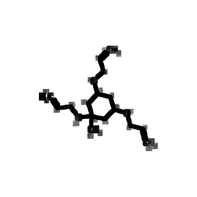 C=CCOC1CC(OCC=C)CC(C)(OCC=C)C1